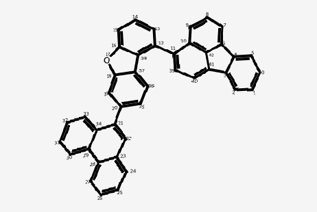 c1ccc2c(c1)-c1cccc3c(-c4cccc5oc6cc(-c7cc8ccccc8c8ccccc78)ccc6c45)ccc-2c13